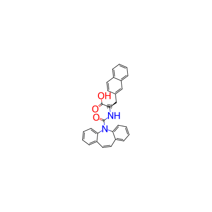 O=C(O)[C@@H](Cc1ccc2ccccc2c1)NC(=O)N1c2ccccc2C=Cc2ccccc21